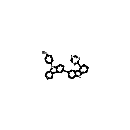 CC(C)(C)c1ccc(-n2c3ccccc3c3cc(-c4ccc5oc6cccc(-c7ncncn7)c6c5c4)ccc32)cc1